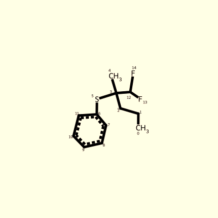 CC[CH]C(C)(Sc1ccccc1)C(F)F